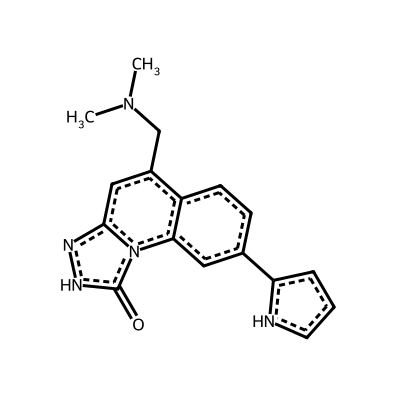 CN(C)Cc1cc2n[nH]c(=O)n2c2cc(-c3ccc[nH]3)ccc12